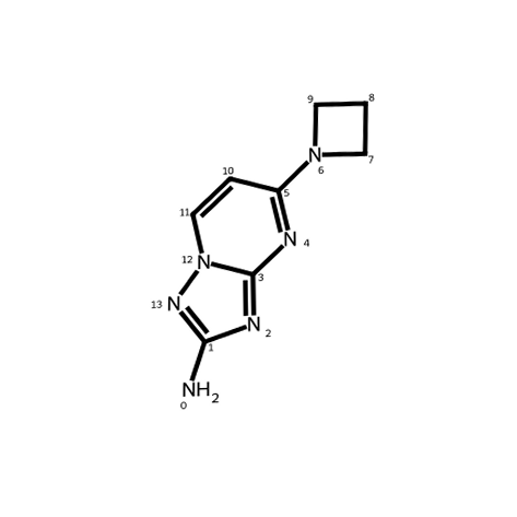 Nc1nc2nc(N3CCC3)ccn2n1